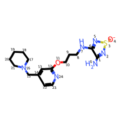 Nc1n[s+]([O-])nc1NCCCOc1cc(CN2CCCCC2)ccn1